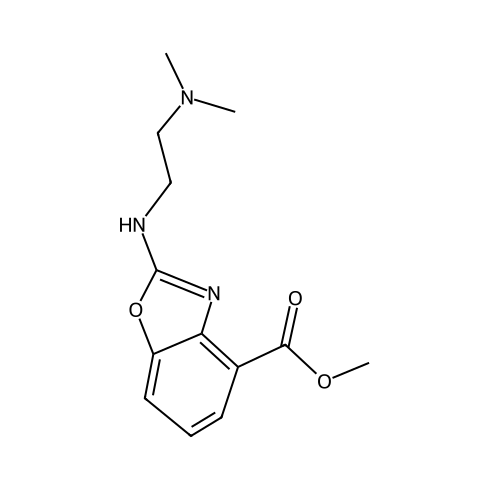 COC(=O)c1cccc2oc(NCCN(C)C)nc12